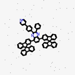 c1ccc(-c2nc3c(-c4ccc5c(c4)C4(c6ccccc6-c6ccccc64)c4ccccc4-5)ccc(-c4ccc5c(c4)C4(c6ccccc6-c6ccccc64)c4ccccc4-5)c3nc2-c2ccc(-c3ccncc3)cc2)cc1